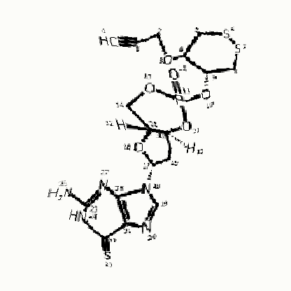 C#CCO[C@H]1CSSC[C@@H]1O[P@]1(=O)OC[C@H]2O[C@@H](n3cnc4c(=S)[nH]c(N)nc43)C[C@@H]2O1